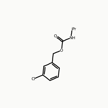 CC(C)NC(=O)OCc1cccc(Cl)c1